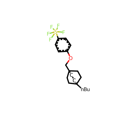 CCCCC12CCC(COc3ccc(S(F)(F)(F)(F)F)cc3)(CC1)CC2